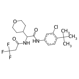 CC(C)(C)c1ccc(NC(=O)C(NC(=O)CC(F)(F)F)C2CCOCC2)cc1Cl